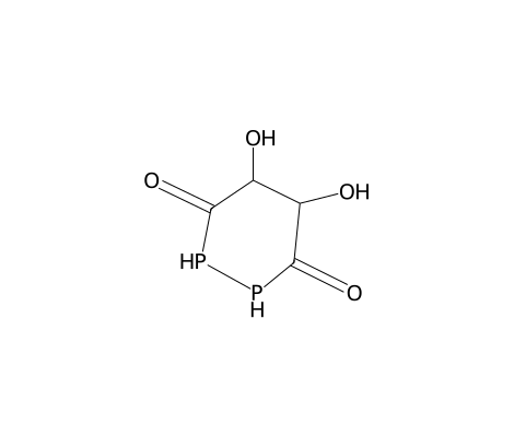 O=C1PPC(=O)C(O)C1O